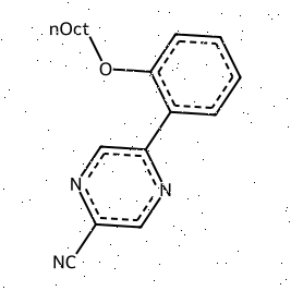 CCCCCCCCOc1ccccc1-c1cnc(C#N)cn1